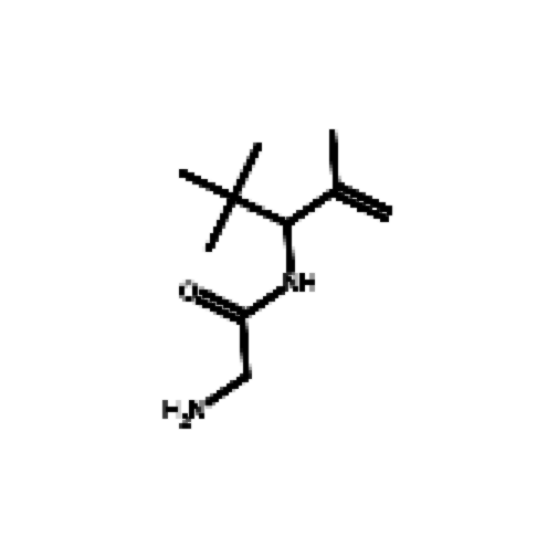 C=C(C)C(NC(=O)CN)C(C)(C)C